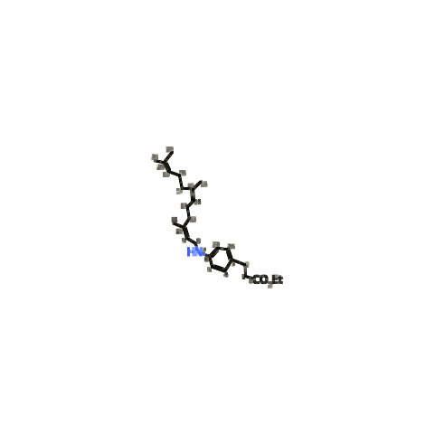 CCOC(=O)CCc1ccc(NCC=C(C)CCC=C(C)CCC=C(C)C)cc1